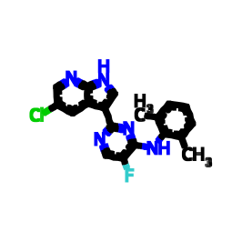 Cc1cccc(C)c1Nc1nc(-c2c[nH]c3ncc(Cl)cc23)ncc1F